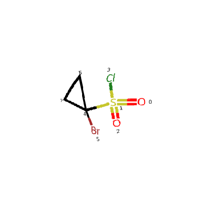 O=S(=O)(Cl)C1(Br)CC1